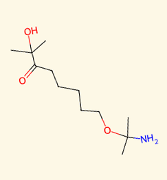 CC(C)(N)OCCCCCC(=O)C(C)(C)O